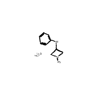 CC(C)N1CC(Nc2ccccc2)C1.Cl.O